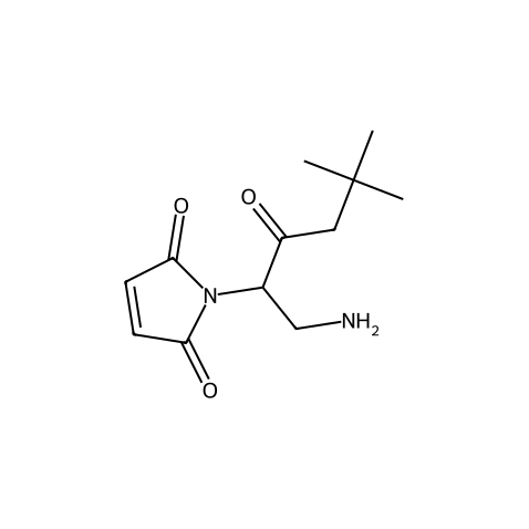 CC(C)(C)CC(=O)C(CN)N1C(=O)C=CC1=O